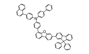 c1ccc(-c2ccc(N(c3ccc(-c4cccc5ccccc45)cc3)c3ccc(-c4cccc5c4oc4cc(-c6ccc7c(c6)C(c6ccccc6)(c6ccccc6)c6ccccc6-7)ccc45)cc3)cc2)cc1